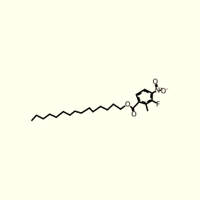 CCCCCCCCCCCCCCCOC(=O)c1ccc([N+](=O)[O-])c(F)c1C